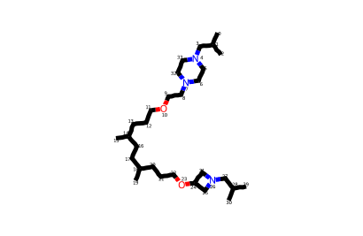 CC(C)CN1CCN(CCOCCCC(C)CCC(C)CCCOC2CN(CC(C)C)C2)CC1